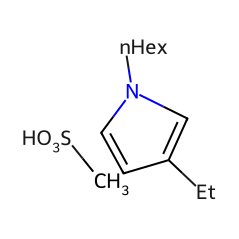 CCCCCCn1ccc(CC)c1.CS(=O)(=O)O